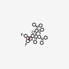 Fc1ccc2c(c1)c1cc(F)ccc1n2-c1cc2c3c(c1)N(c1ccccc1-c1ccccc1)c1cc(N(c4ccccc4)c4ccccc4)ccc1B3c1c(cc(N(c3ccccc3)c3ccccc3)c3c1sc1ccccc13)O2